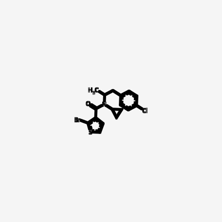 CC(Cc1ccc(Cl)cc1)N(C(=O)c1ccsc1Br)C1CC1